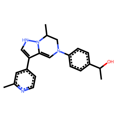 Cc1cc(C2=CNN3C2=CN(c2ccc(C(C)O)cc2)CC3C)ccn1